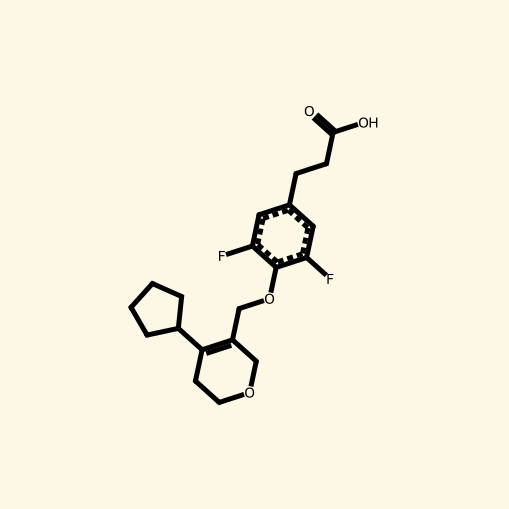 O=C(O)CCc1cc(F)c(OCC2=C(C3CCCC3)CCOC2)c(F)c1